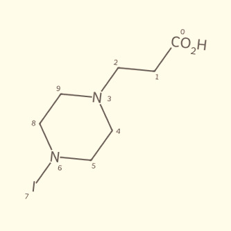 O=C(O)CCN1CCN(I)CC1